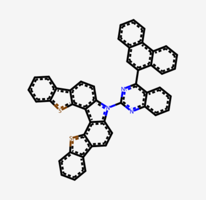 c1ccc2c(c1)cc(-c1nc(-n3c4ccc5c6ccccc6sc5c4c4c5sc6ccccc6c5ccc43)nc3ccccc13)c1ccccc12